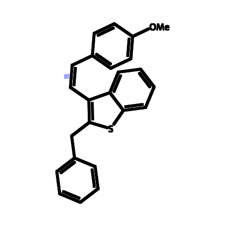 COc1ccc(/C=C\c2c(Cc3ccccc3)sc3ccccc23)cc1